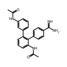 CC(=O)Nc1cccc(-c2[c]ccc(NC(C)=O)c2-c2ccc(C(=N)N)cc2)c1